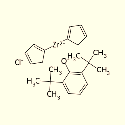 C1=CC[C]([Zr+2][C]2=CC=CC2)=C1.CC(C)(C)c1cccc(C(C)(C)C)c1[O-].[Cl-]